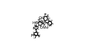 CO[C@@H]1[C@@H](n2cc(-c3cc(F)c(C)c(F)c3)nn2)[C@@H](O)[C@@H](CO)O[C@H]1S[C@H](c1ncccc1C)C1(O)CCC(F)(F)CC1